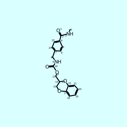 CNC(=O)c1ccc(CNC(=O)OCC2COc3ccccc3O2)cc1